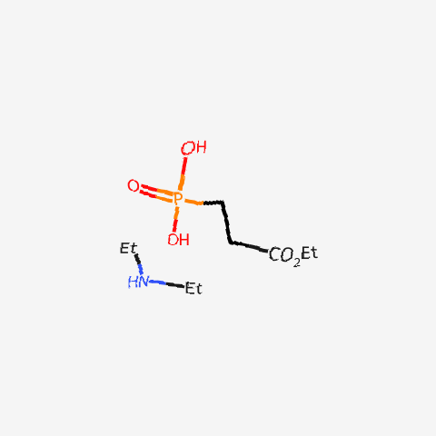 CCNCC.CCOC(=O)CCP(=O)(O)O